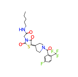 CCCCCNC(=O)CN1C(=O)SC(=C2CCN(C(=O)c3cc(F)ccc3C(F)(F)F)CC2)C1=O